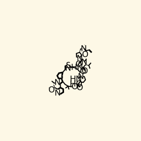 C=CC(=O)N(C)C[C@@H]1CCN(C(=O)N(C)[C@H](C(=O)N[C@H]2Cc3nc(cs3)-c3ccc4c(c3)c(c(-c3cccnc3[C@H](C)OC)n4CC)CC(C)(C)COC(=O)[C@@]3(O)CCCN(N3)C2=O)C(C)C)C1